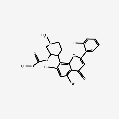 COC(=O)OC1CN(C)CCC1c1c(O)cc(O)c2c(=O)cc(-c3ccccc3Cl)oc12